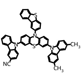 Cc1ccc2c(c1)c1cc(C)ccc1n2-c1ccc2c(c1)Sc1cc(-n3c4ccccc4c4cc(C#N)ccc43)ccc1N2c1ccc2sc3ccccc3c2c1